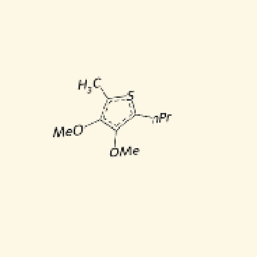 CCCc1sc(C)c(OC)c1OC